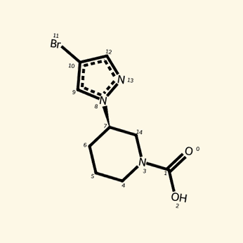 O=C(O)N1CCC[C@@H](n2cc(Br)cn2)C1